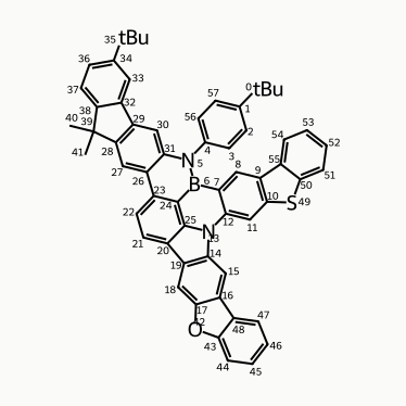 CC(C)(C)c1ccc(N2B3c4cc5c(cc4-n4c6cc7c(cc6c6ccc(c3c64)-c3cc4c(cc32)-c2cc(C(C)(C)C)ccc2C4(C)C)oc2ccccc27)sc2ccccc25)cc1